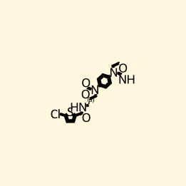 N=C1OCCN1c1ccc(N2C[C@H](CNC(=O)c3ccc(Cl)s3)OC2=O)cc1